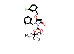 CC(C)(C)OC(=O)N1C(=O)C=C(OCc2cccc(F)c2)[C@@H]1Cc1ccccc1